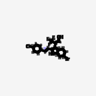 ON=C(c1c(/C=C/c2ccc(Cl)cc2)[nH]c2cc(Br)ccc12)C(F)(F)F